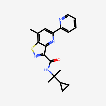 Cc1cc(-c2ccccn2)nc2c(C(=O)NC(C)(C)C3CC3)nsc12